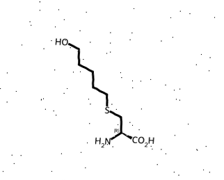 N[C@@H](CSCCCCCO)C(=O)O